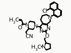 C=CC(=O)N1CCN(c2nc(OCC3CCCN3C)nc3c2CCCN(c2cccc4cccc(Cl)c24)C3)CC1CC#N